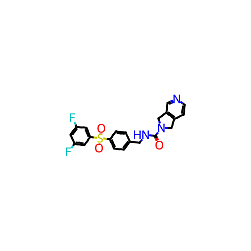 O=C(NCc1ccc(S(=O)(=O)c2cc(F)cc(F)c2)cc1)N1Cc2ccncc2C1